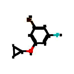 Fc1[c]c(OC2CC2)cc(Br)c1